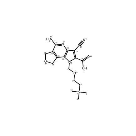 C[Si](C)(C)CCOCn1c(C(=O)O)c(C#N)c2nc(N)c3c(c21)COC3